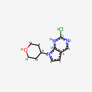 Clc1ncc2ccn(C3CCOCC3)c2n1